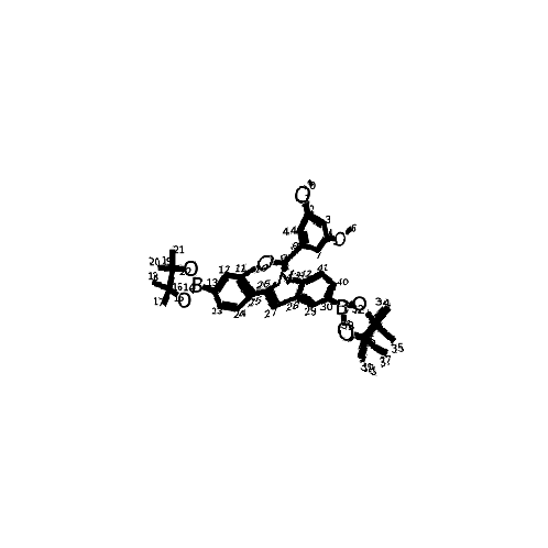 COc1cc(OC)cc(C2Oc3cc(B4OC(C)(C)C(C)(C)O4)ccc3-c3cc4cc(B5OC(C)(C)C(C)(C)O5)ccc4n32)c1